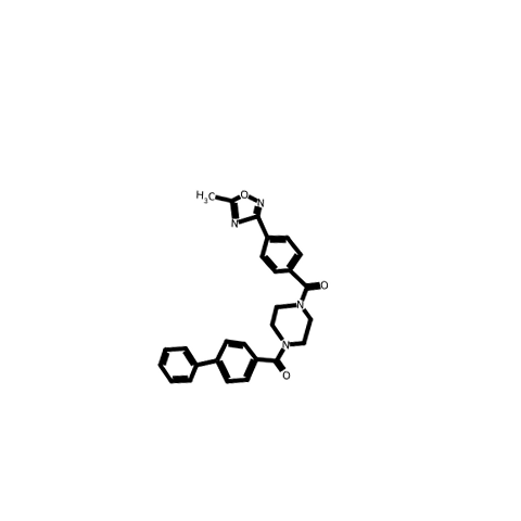 Cc1nc(-c2ccc(C(=O)N3CCN(C(=O)c4ccc(-c5ccccc5)cc4)CC3)cc2)no1